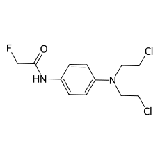 O=C(CF)Nc1ccc(N(CCCl)CCCl)cc1